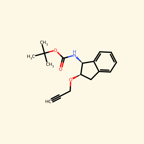 C#CCO[C@@H]1Cc2ccccc2[C@@H]1NC(=O)OC(C)(C)C